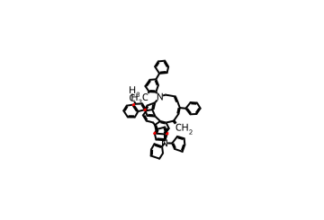 C=C1/C=C(c2ccccc2)\C=C/CN(c2cc(-c3ccccc3)ccc2C)c2cc(-c3ccccc3)cc(c2C(/C=C\Cc2ccccc2)=C/CC)-c2ccc(N(C3=CC=CCC3)c3ccccc3)cc21